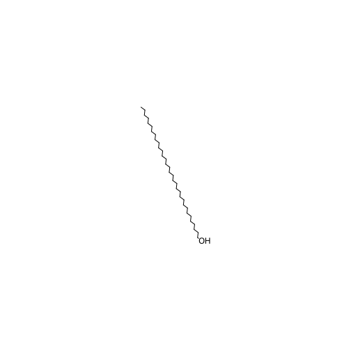 CCCCCCCCCCCCCCCCCCCCCCCCCCCCCCCCCO